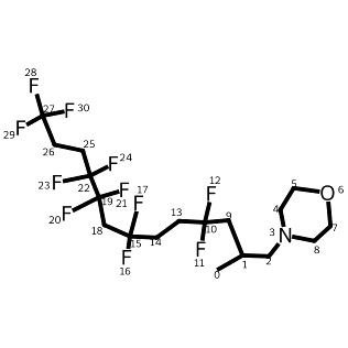 CC(CN1CCOCC1)CC(F)(F)CCC(F)(F)CC(F)(F)C(F)(F)CCC(F)(F)F